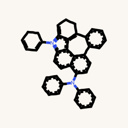 C1=CCCC(n2c3c4c5c6c(ccc(N(c7ccccc7)c7ccccc7)c6ccc52)-c2ccccc2C=4CCC=3)=C1